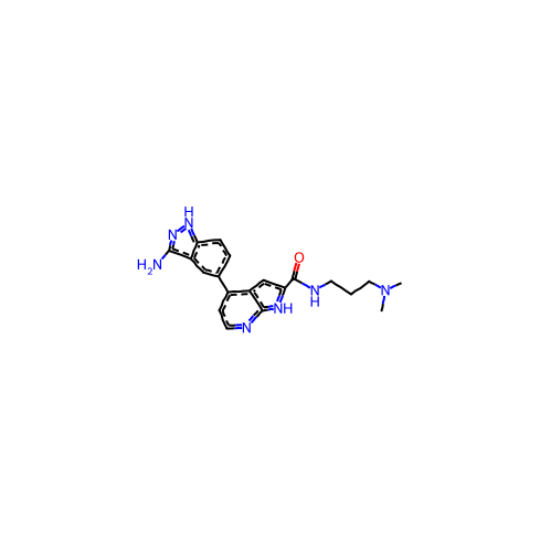 CN(C)CCCNC(=O)c1cc2c(-c3ccc4[nH]nc(N)c4c3)ccnc2[nH]1